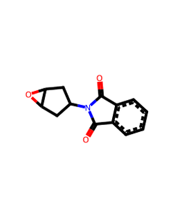 O=C1c2ccccc2C(=O)N1C1CC2OC2C1